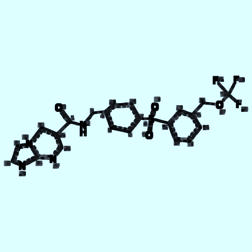 O=C(NCc1ccc(S(=O)(=O)c2cccc(COC(F)(F)F)c2)cc1)c1cnc2nccn2c1